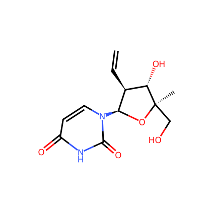 C=C[C@@H]1[C@H](n2ccc(=O)[nH]c2=O)O[C@](C)(CO)[C@H]1O